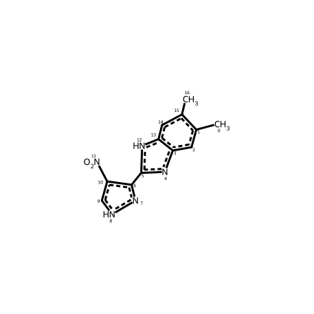 Cc1cc2nc(-c3n[nH]cc3[N+](=O)[O-])[nH]c2cc1C